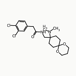 CN(C)C1(CNC(=O)Cc2ccc(Cl)c(Cl)c2)CCC2(CC1)OCCCO2